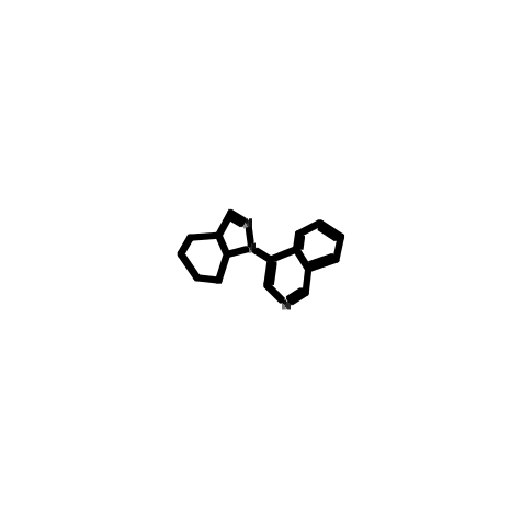 C1=NN(c2cncc3ccccc23)C2CCCCC12